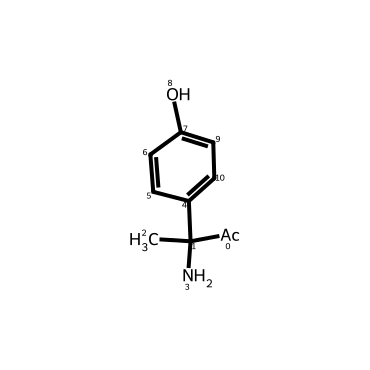 CC(=O)C(C)(N)c1ccc(O)cc1